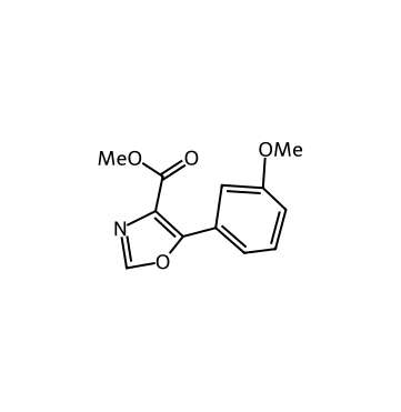 COC(=O)c1ncoc1-c1cccc(OC)c1